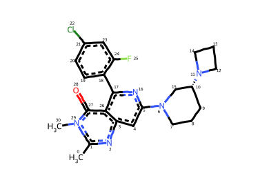 Cc1nc2cc(N3CCC[C@@H](N4CCC4)C3)nc(-c3ccc(Cl)cc3F)c2c(=O)n1C